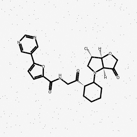 O=C(NCC(=O)[C@H]1CCCCC1N1C[C@H](Cl)[C@H]2OCC(=O)[C@H]21)c1ccc(-c2cncnc2)o1